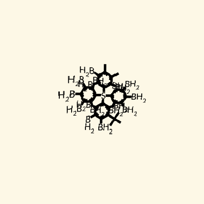 Bc1c(B)c(B)c(S(c2c(B)c(B)c(B)c(B)c2B)(c2c(B)c(B)c(C)c(C)c2B)c2c(B)c(B)c(B)c(C(C)(C)C)c2B)c(B)c1B